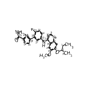 CCC(C)Oc1cc2ncnc(Nc3ccc(F)c(-c4csc(C(N)=O)n4)c3)c2cc1OC